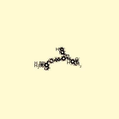 BC(B)(B)Oc1cc(CN2CCN(C3CC4(C3)CN(c3ccc(C(=O)NSc5ccc(N)c([N+](=O)[O-])c5)c(Oc5cnc6[nH]ccc6c5)c3)C4)CC2)cc2ccoc12